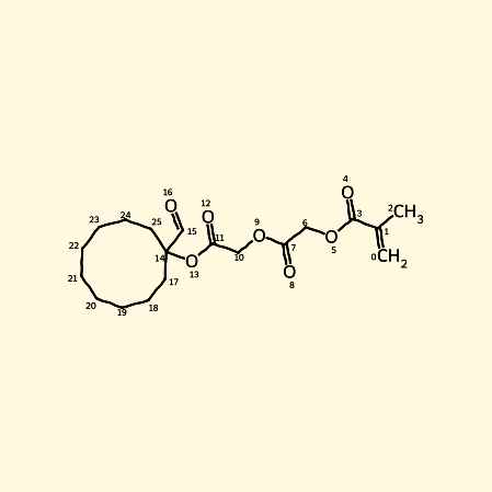 C=C(C)C(=O)OCC(=O)OCC(=O)OC1(C=O)CCCCCCCCC1